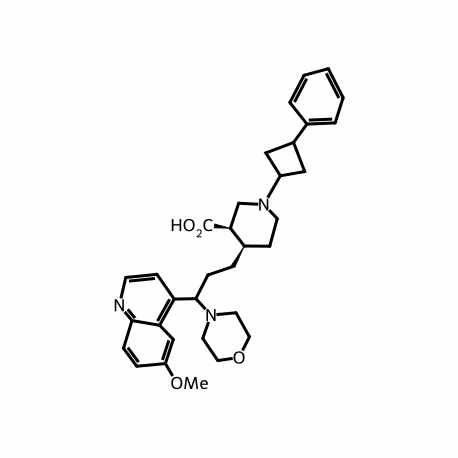 COc1ccc2nccc(C(CC[C@@H]3CCN(C4CC(c5ccccc5)C4)C[C@@H]3C(=O)O)N3CCOCC3)c2c1